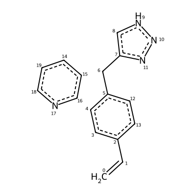 C=Cc1ccc(Cc2c[nH]nn2)cc1.c1ccncc1